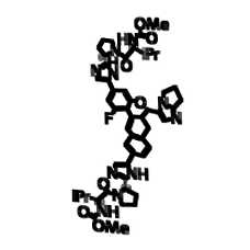 COC(=O)N[C@H](C(=O)N1CCC[C@H]1c1ncc(-c2ccc3c(c2)C=C2c4c(F)cc(-c5cnc([C@@H]6CCCN6C(=O)[C@@H](NC(=O)OC)C(C)C)[nH]5)cc4OC(c4cnc5n4CCC5)C2C3)[nH]1)C(C)C